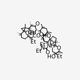 CCC(C(=O)[C@@H](C)[C@@H](O)C1(C)C[C@]12O[C@@H]([C@@H](CC)C(=O)O)CC[C@@H]2C)[C@H]1O[C@]2(C=C[C@@H](NC(=O)N(CC)CC)[C@]3(CC[C@@](C)([C@H]4CC[C@](O)(CC)[C@H](C)O4)O3)O2)[C@H](C)C[C@@H]1C